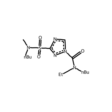 CCCCN(CC)C(=O)n1cnc(S(=O)(=O)N(C)CCCC)n1